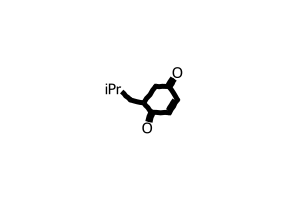 CC(C)CC1CC(=O)C=CC1=O